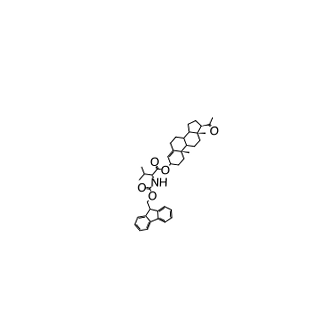 CC(=O)[C@@H]1CCC2C3CCC4=C[C@H](OC(=O)[C@@H](NC(=O)OCC5c6ccccc6-c6ccccc65)C(C)C)CC[C@@]4(C)C3CC[C@]21C